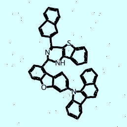 c1ccc2cc(C3=NC(c4cccc5oc6cc(-n7c8ccccc8c8ccc9ccccc9c87)ccc6c45)Nc4c3sc3ccccc43)ccc2c1